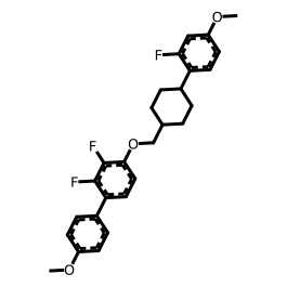 COc1ccc(-c2ccc(OCC3CCC(c4ccc(OC)cc4F)CC3)c(F)c2F)cc1